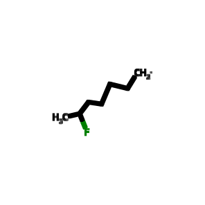 [CH2]CCCCC(C)F